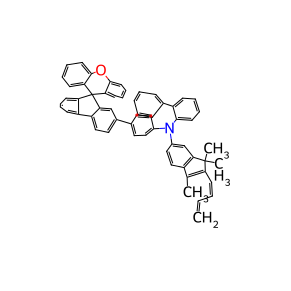 C=C/C=C\C1=C(C)c2ccc(N(c3ccc(-c4ccc5c(c4)C4(c6ccccc6Oc6ccccc64)c4ccccc4-5)cc3)c3ccccc3-c3ccccc3)cc2C1(C)C